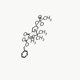 CC(C)(C)N1C[C@@H](OS(C)(=O)=O)C[C@H]1C(=O)NC(=O)OCc1ccccc1